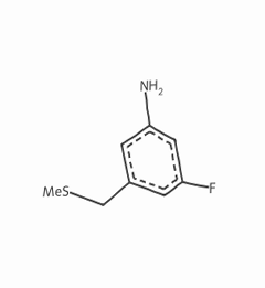 CSCc1cc(N)cc(F)c1